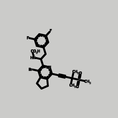 CC(C)(C#Cc1nc(C(Cc2cc(F)cc(F)c2)NC(=O)O)c(Br)c2c1CCC2)S(C)(=O)=O